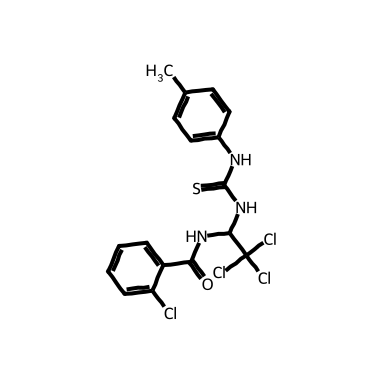 Cc1ccc(NC(=S)NC(NC(=O)c2ccccc2Cl)C(Cl)(Cl)Cl)cc1